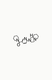 O=C(c1ccc(N2CCN3CCCC[C@@H]3C2)nc1)N1CCCCC1